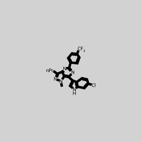 CCCc1nn(C)c2c(-c3c[nH]c4cc(Cl)ccc34)nc(-c3ccc(C(F)(F)F)cc3)nc12